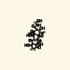 CN(C)[C@@H]1C(O)=C(C(=O)NCO)C(=O)[C@@]2(O)C(O)=C3C(=O)c4c(O)ccc(Cl)c4[C@@](C)(O)[C@H]3C[C@@H]12